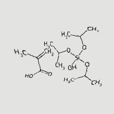 C=C(C)C(=O)O.CC(C)O[Si](O)(OC(C)C)OC(C)C